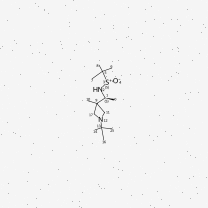 C[C@H](N[S@+]([O-])C(C)(C)C)C1(C)CN(C(C)(C)C)C1